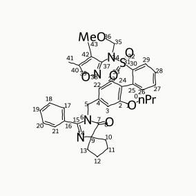 CCCOc1cc(CN2C(=O)C3(CCCC3)N=C2c2ccccc2)ccc1-c1ccccc1S(=O)(=O)N(COC)c1noc(C)c1C